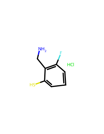 Cl.NCc1c(F)cccc1S